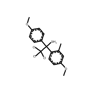 COc1ccc(C([SiH3])(c2ccc(OC)cc2C)C(Cl)(Cl)Cl)cc1